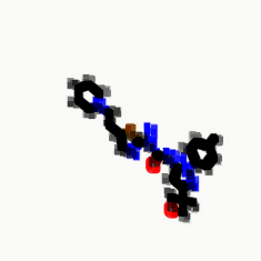 Cc1ccc(-n2nc(C3(C)COC3)cc2NC(=O)Nc2ncc(CCN3CCCCC3)s2)cc1